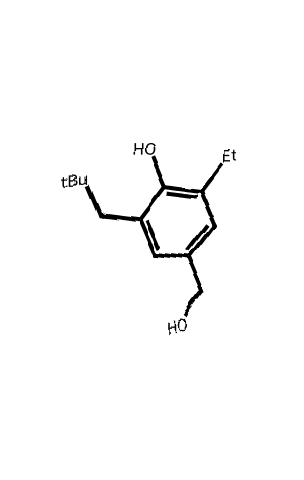 CCc1cc(CO)cc(CC(C)(C)C)c1O